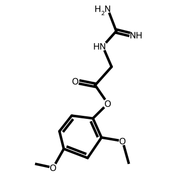 COc1ccc(OC(=O)CNC(=N)N)c(OC)c1